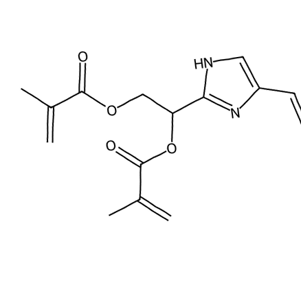 C=Cc1c[nH]c(C(COC(=O)C(=C)C)OC(=O)C(=C)C)n1